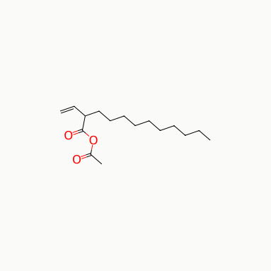 C=CC(CCCCCCCCCC)C(=O)OC(C)=O